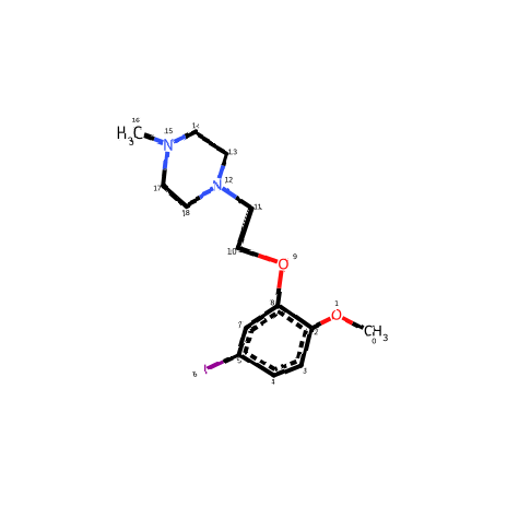 COc1ccc(I)cc1OCCN1CCN(C)CC1